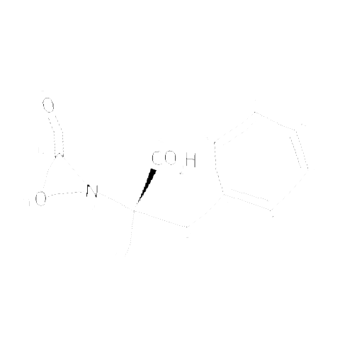 C[C@](Cc1ccccc1)(C(=O)O)N1OC1=O